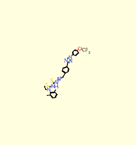 Cc1cccc(C)c1N1CCS/C1=N\C(=S)N/N=C/c1ccc(-c2ncn(-c3ccc(OC(F)(F)F)cc3)n2)cc1